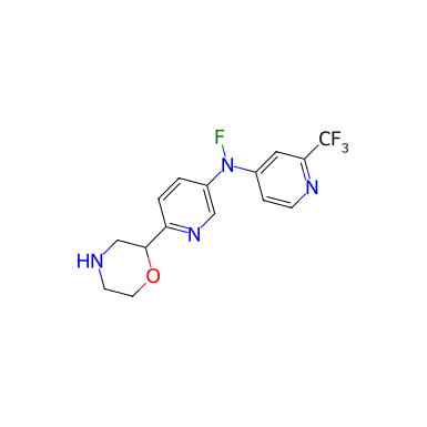 FN(c1ccc(C2CNCCO2)nc1)c1ccnc(C(F)(F)F)c1